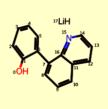 Oc1ccccc1-c1cccc2cccnc12.[LiH]